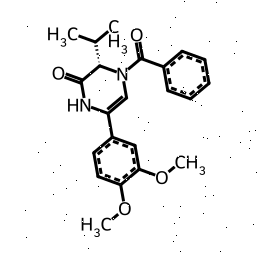 COc1ccc(C2=CN(C(=O)c3ccccc3)[C@@H](C(C)C)C(=O)N2)cc1OC